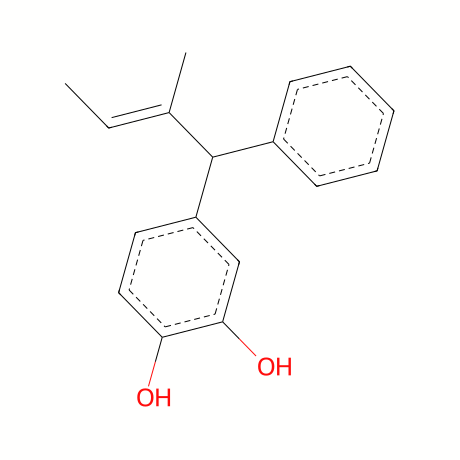 C/C=C(\C)C(c1ccccc1)c1ccc(O)c(O)c1